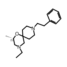 CCN1C[C@H](C)OC2(CCN(CCc3ccccc3)CC2)C1